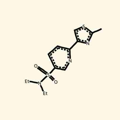 CCN(CC)S(=O)(=O)c1ccc(-c2csc(C)n2)nc1